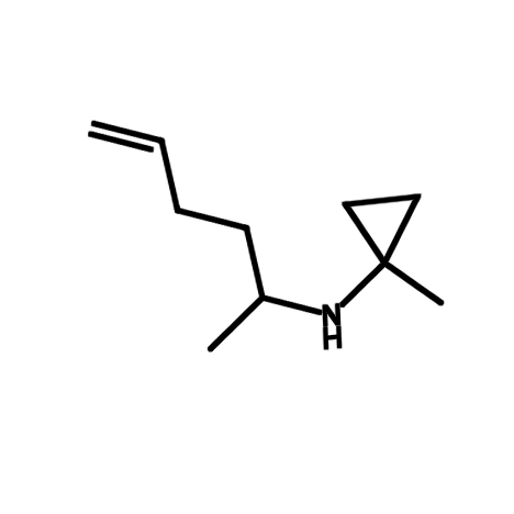 C=CCCC(C)NC1(C)CC1